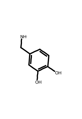 [NH]Cc1ccc(O)c(O)c1